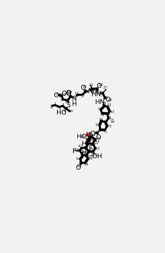 CCCCC(C)(O)SC(CC(=O)O)C(=O)NCCC(=O)N[C@@H](C)C(=O)N[C@@H](C)C(=O)Nc1ccc([C@H](C)c2ccc([C@@H]3O[C@@H]4C[C@H]5[C@@H]6C[C@H](F)C7=CC(=O)C=C[C@]7(C)[C@@]6(F)[C@@H](O)C[C@]5(C)[C@]4(C(=O)CO)O3)cc2)cc1